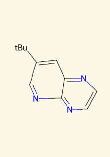 CC(C)(C)c1cnc2nccnc2c1